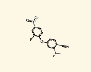 CC(C)c1cc(Oc2ccc([N+](=O)[O-])cc2F)ccc1C#N